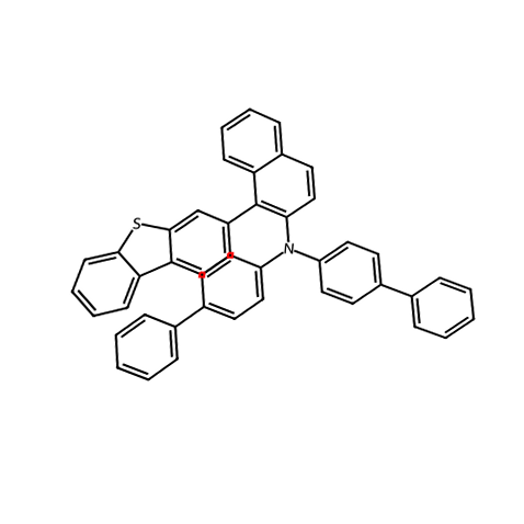 c1ccc(-c2ccc(N(c3ccc(-c4ccccc4)cc3)c3ccc4ccccc4c3-c3ccc4c(c3)sc3ccccc34)cc2)cc1